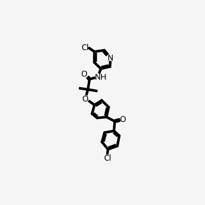 CC(C)(Oc1ccc(C(=O)c2ccc(Cl)cc2)cc1)C(=O)Nc1cncc(Cl)c1